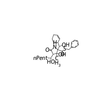 CCCCCC(O)C1C(=O)NC(C(=O)SCc2ccccc2)(C(O)C2C=CCCC2)C1(C)O